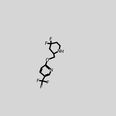 FC1(F)CCNC(COc2ccc(C(F)(F)F)cn2)C1